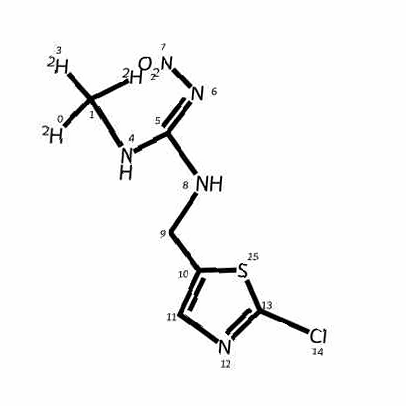 [2H]C([2H])([2H])N/C(=N\[N+](=O)[O-])NCc1cnc(Cl)s1